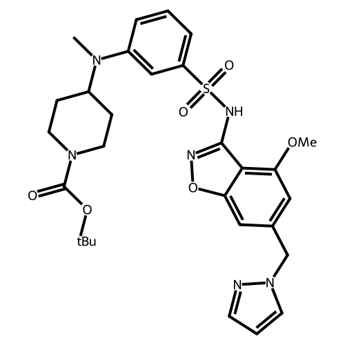 COc1cc(Cn2cccn2)cc2onc(NS(=O)(=O)c3cccc(N(C)C4CCN(C(=O)OC(C)(C)C)CC4)c3)c12